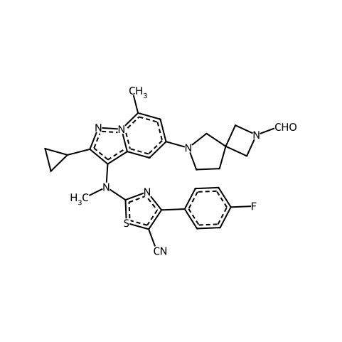 Cc1cc(N2CCC3(CN(C=O)C3)C2)cc2c(N(C)c3nc(-c4ccc(F)cc4)c(C#N)s3)c(C3CC3)nn12